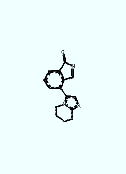 O=C1N=Cc2c1cccc2-c1cnc2n1CCCC2